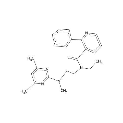 CCN(CCN(C)c1nc(C)cc(C)n1)C(=O)c1cccnc1-c1ccccc1